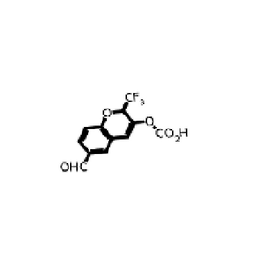 O=Cc1ccc2c(c1)C=C(OC(=O)O)C(C(F)(F)F)O2